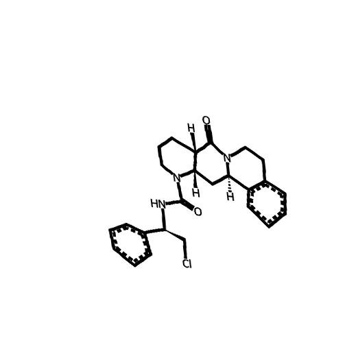 O=C1[C@H]2CCCN(C(=O)N[C@@H](CCl)c3ccccc3)[C@H]2C[C@@H]2c3ccccc3CCN12